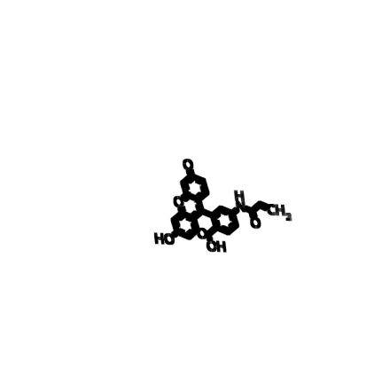 C=CC(=O)Nc1ccc(C(=O)O)c(-c2c3ccc(=O)cc-3oc3cc(O)ccc23)c1